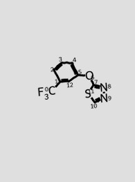 FC(F)(F)c1cccc(Oc2nn[c]s2)c1